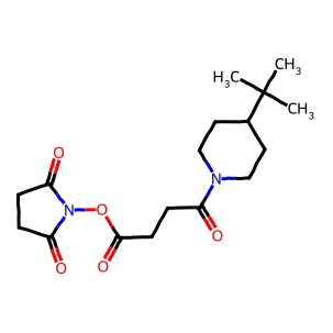 CC(C)(C)C1CCN(C(=O)CCC(=O)ON2C(=O)CCC2=O)CC1